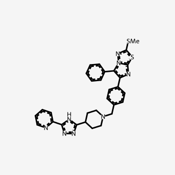 CSc1nn2c(-c3ccccc3)c(-c3ccc(CN4CCC(c5nnc(-c6ccccn6)[nH]5)CC4)cc3)nc2s1